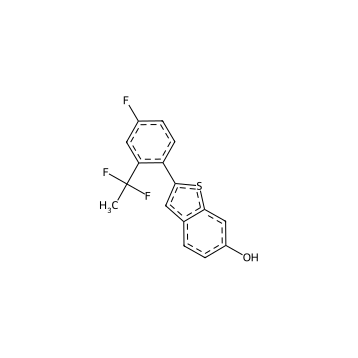 CC(F)(F)c1cc(F)ccc1-c1cc2ccc(O)cc2s1